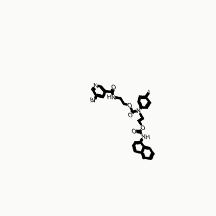 O=C(Nc1cccc2ccccc12)OCCN(C(=O)OCCNC(=O)c1cncc(Br)c1)c1ccc(I)cc1